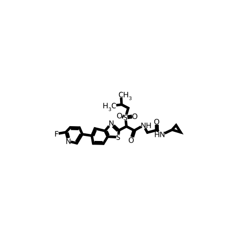 CC(C)CS(=O)(=O)C(C(=O)NCC(=O)NC1CC1)c1nc2cc(-c3ccc(F)nc3)ccc2s1